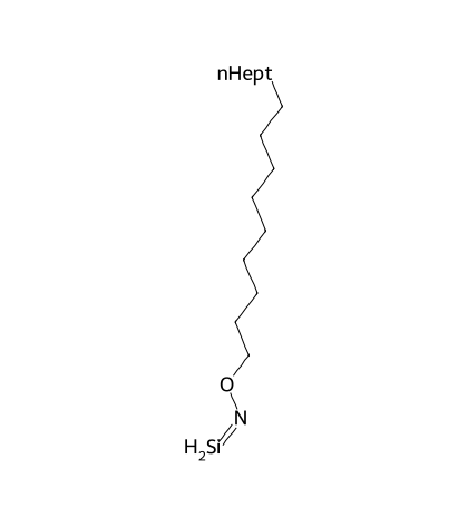 CCCCCCCCCCCCCCCCON=[SiH2]